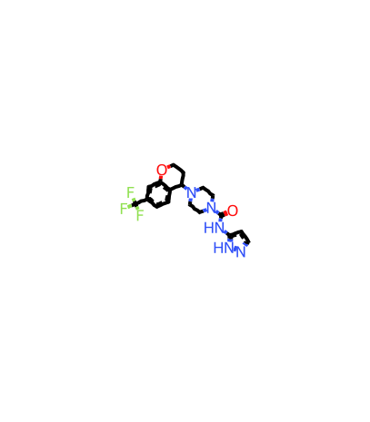 O=C(Nc1ccn[nH]1)N1CCN(C2CCOc3cc(C(F)(F)F)ccc32)CC1